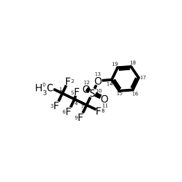 CC(F)(F)C(F)(F)C(F)(F)S(=O)(=O)Oc1ccccc1